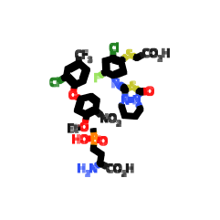 CCOc1cc(Oc2ccc(C(F)(F)F)cc2Cl)ccc1[N+](=O)[O-].CP(=O)(O)CCC(N)C(=O)O.O=C(O)CSc1cc(N=c2sc(=O)n3n2CCCC3)c(F)cc1Cl